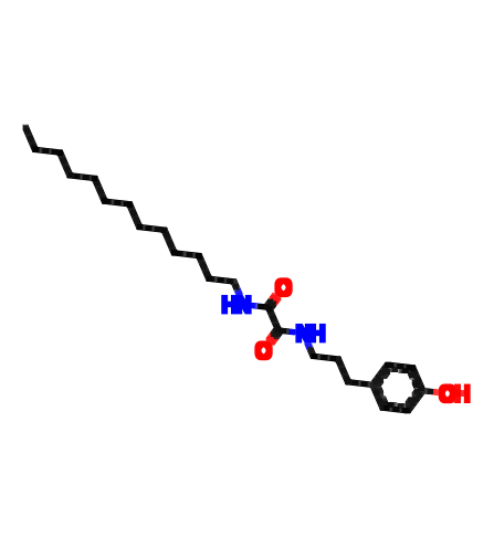 CCCCCCCCCCCCCNC(=O)C(=O)NCCCc1ccc(O)cc1